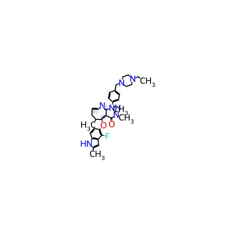 CCN1CCN(Cc2ccc(NC3=N/C=C/CC(C)/C(Oc4ccc5[nH]c(C)cc5c4F)=C\3C(=O)N(C)C)cc2)CC1